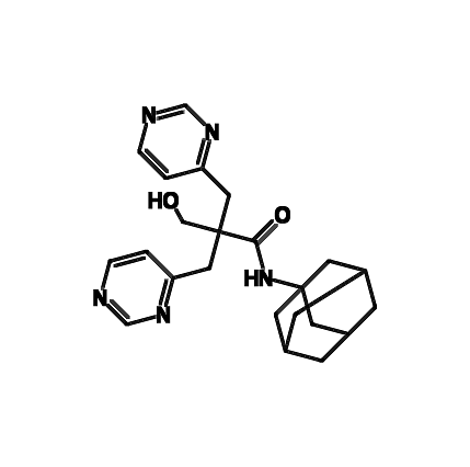 O=C(NC12CC3CC(CC(C3)C1)C2)C(CO)(Cc1ccncn1)Cc1ccncn1